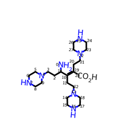 NC(CCN1CCNCC1)/C(CCN1CCNCC1)=C(\CCN1CCNCC1)C(=O)O